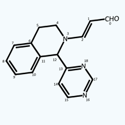 O=CC=CN1CCc2ccccc2C1c1ccncn1